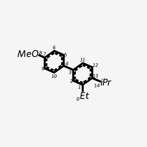 CCc1cc(-c2ccc(OC)cc2)ccc1C(C)C